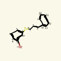 Brc1cccc(SCCCc2ccccc2)c1